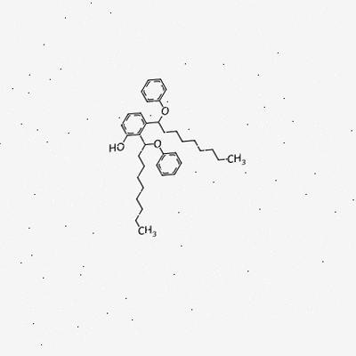 CCCCCCCCC(Oc1ccccc1)c1cccc(O)c1C(CCCCCCCC)Oc1ccccc1